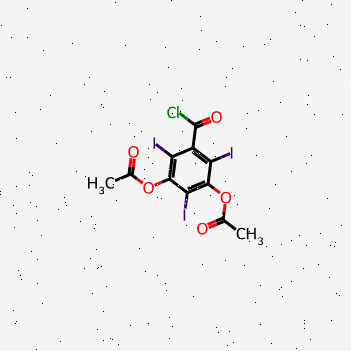 CC(=O)Oc1c(I)c(OC(C)=O)c(I)c(C(=O)Cl)c1I